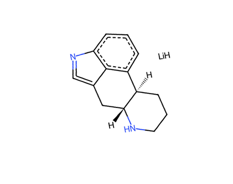 C1=Nc2cccc3c2C=1C[C@H]1NCCC[C@H]31.[LiH]